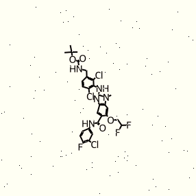 Cn1c(Nc2c(Cl)ccc(CNC(=O)OC(C)(C)C)c2Cl)nc2cc(C(=O)Nc3ccc(F)c(Cl)c3)c(OCC(F)F)cc21